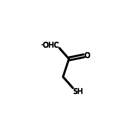 O=[C]C(=O)CS